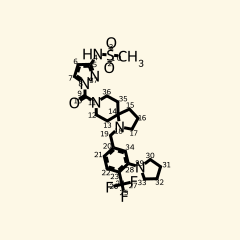 CS(=O)(=O)Nc1ccn(C(=O)N2CCC3(CCCN3Cc3ccc(C(F)(F)F)c(N4CCCC4)c3)CC2)n1